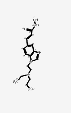 CC(C)(C)CCN(CCn1cnc2cc(C=CC(=O)NO)ccc21)CC(F)(F)F